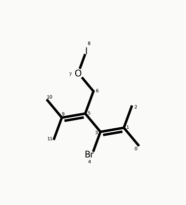 CC(C)=C(Br)C(COI)=C(C)C